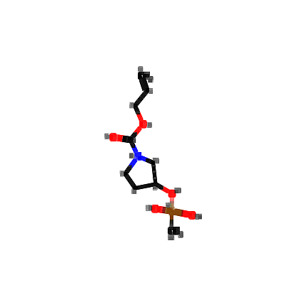 C=CCOC(=O)N1CCC(OS(C)(=O)=O)C1